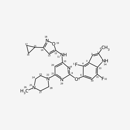 Cc1cc2c(F)c(Oc3nc(Nc4cc(C5CC5)no4)cc(N4CCN(C)CC4)n3)cc(F)c2[nH]1